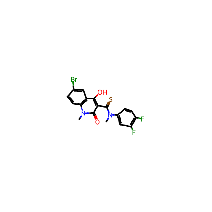 CN(C(=S)c1c(O)c2cc(Br)ccc2n(C)c1=O)c1ccc(F)c(F)c1